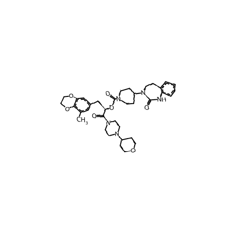 Cc1cc(C[C@@H](OC(=O)N2CCC(N3CCc4ccccc4NC3=O)CC2)C(=O)N2CCN(C3CCOCC3)CC2)cc2c1OCCO2